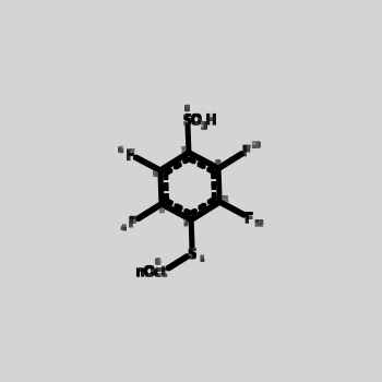 CCCCCCCCSc1c(F)c(F)c(S(=O)(=O)O)c(F)c1F